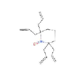 C=CCC1(CC=C)CCCC(CC=C)(CC=C)[N+]1=O